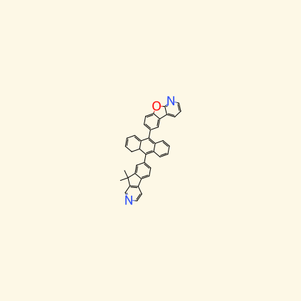 CC1(C)c2cnccc2-c2ccc(C3=c4ccccc4=C(c4ccc5oc6ncccc6c5c4)C4=CC=CCC43)cc21